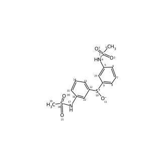 CS(=O)(=O)Nc1cccc([S+]([O-])c2cccc(NS(C)(=O)=O)c2)c1